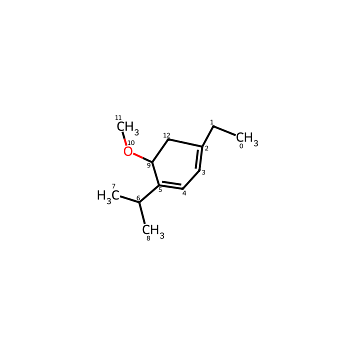 CCC1=CC=C(C(C)C)C(OC)C1